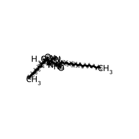 CCCCCCCCCCCCCCCCCCn1c2ncnc3c(ncn3C(=O)C(C)CCCCCCCCCCC)c-2nc1=O